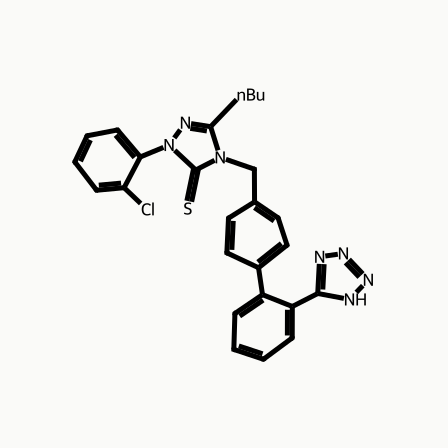 CCCCc1nn(-c2ccccc2Cl)c(=S)n1Cc1ccc(-c2ccccc2-c2nnn[nH]2)cc1